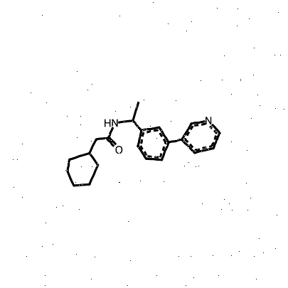 CC(NC(=O)CC1CCCCC1)c1cccc(-c2cccnc2)c1